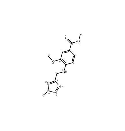 COC(=O)c1ccc(NCc2nnn(C)n2)c(OC)c1